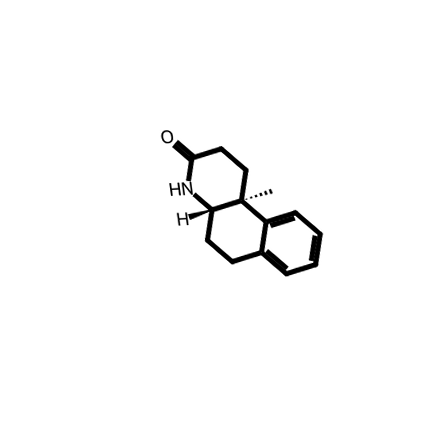 C[C@@]12CCC(=O)N[C@H]1CCc1ccccc12